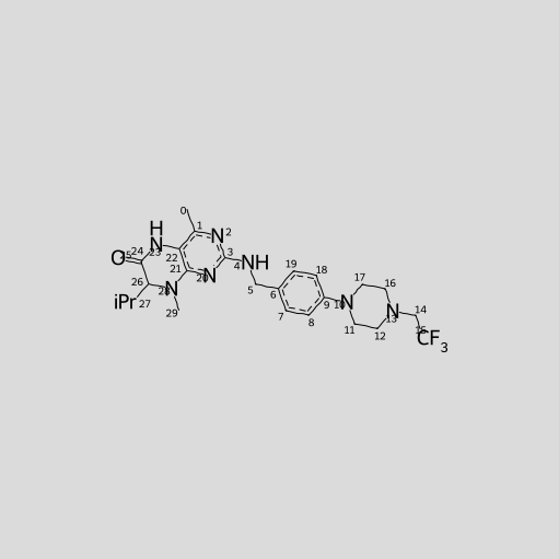 Cc1nc(NCc2ccc(N3CCN(CC(F)(F)F)CC3)cc2)nc2c1NC(=O)C(C(C)C)N2C